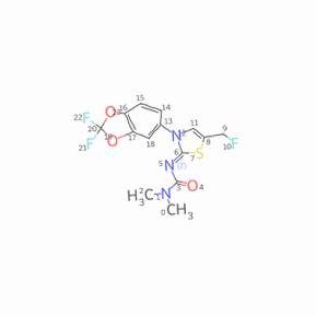 CN(C)C(=O)/N=c1\sc(CF)cn1-c1ccc2c(c1)OC(F)(F)O2